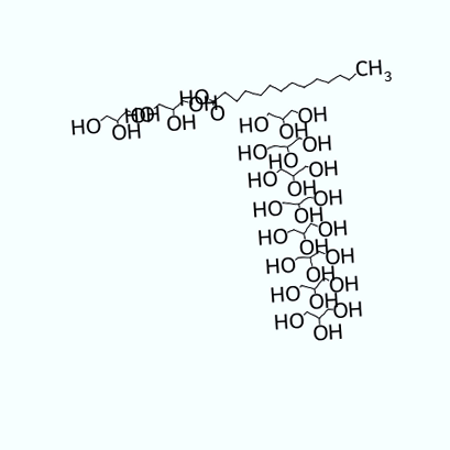 CCCCCCCCCCCCCC(=O)O.OCC(O)CO.OCC(O)CO.OCC(O)CO.OCC(O)CO.OCC(O)CO.OCC(O)CO.OCC(O)CO.OCC(O)CO.OCC(O)CO.OCC(O)CO